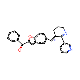 O=C(c1ccccc1)c1cc2cc(/C=C3\CCCN=C3c3cccnc3)ccc2o1